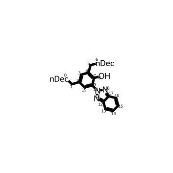 CCCCCCCCCCCc1cc(CCCCCCCCCCC)c(O)c(-n2nc3ccccc3n2)c1